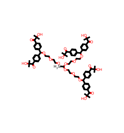 CC(C)(O)C(=O)c1ccc(C(OCCOCCO[SiH2]C(OCCOCCOC(c2ccc(C(=O)C(C)(C)O)cc2)c2ccc(C(=O)C(C)(C)O)cc2)OCCOCCOC(c2ccc(C(=O)C(C)(C)O)cc2)c2ccc(C(=O)C(C)(C)O)cc2)c2ccc(C(=O)C(C)(C)O)cc2)cc1